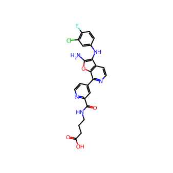 Nc1oc2c(-c3ccnc(C(=O)NCCCC(=O)O)c3)nccc2c1Nc1ccc(F)c(Cl)c1